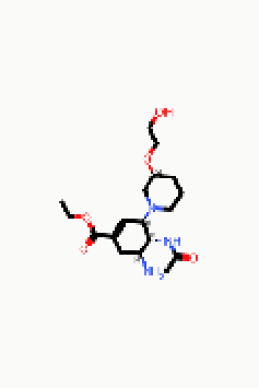 CCOC(=O)C1=C[C@@H](N2CCC[C@H](OCCO)C2)[C@H](NC(C)=O)[C@@H](N)C1